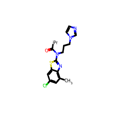 Cc1cc(Cl)cc2sc(N(CCCn3ccnc3)C(=O)C(C)C)nc12